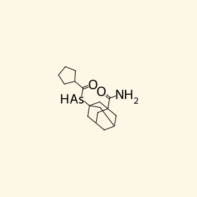 NC(=O)C12CC3CC(CC([AsH]C(=O)C4CCCC4)(C3)C1)C2